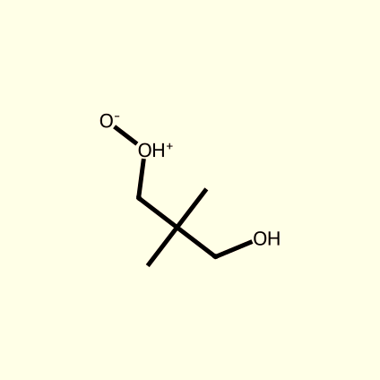 CC(C)(CO)C[OH+][O-]